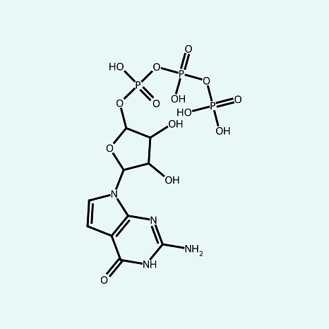 Nc1nc2c(ccn2C2OC(OP(=O)(O)OP(=O)(O)OP(=O)(O)O)C(O)C2O)c(=O)[nH]1